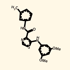 COc1cc(Nc2scnc2C(=O)Nc2cccc(C)c2)cc(OC)c1